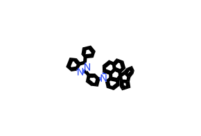 c1ccc(-c2nc(-c3cccc(-n4c5cccc6c5c5c7c(cccc7ccc54)C64c5ccccc5-c5ccccc54)c3)nc3ccccc23)cc1